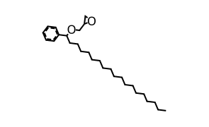 CCCCCCCCCCCCCCCCCCC(OCC1CO1)c1ccccc1